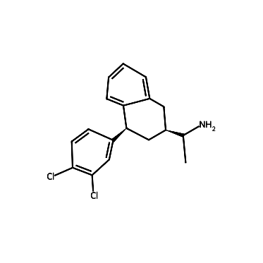 CC(N)[C@@H]1Cc2ccccc2[C@H](c2ccc(Cl)c(Cl)c2)C1